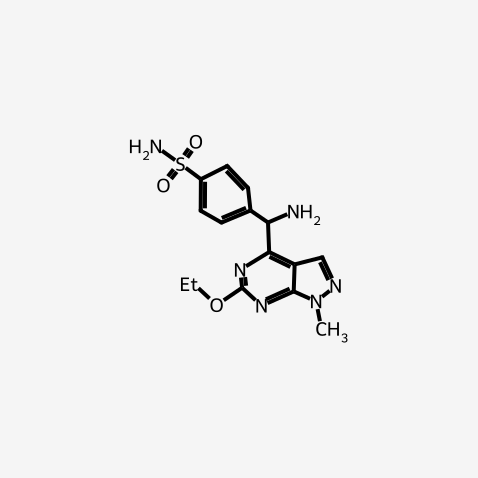 CCOc1nc(C(N)c2ccc(S(N)(=O)=O)cc2)c2cnn(C)c2n1